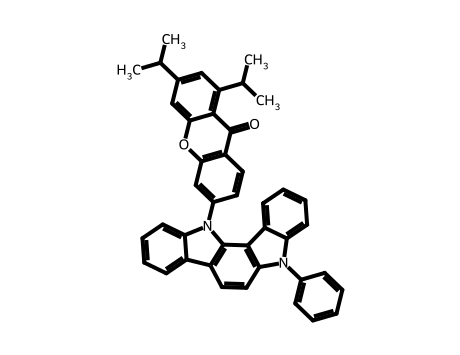 CC(C)c1cc(C(C)C)c2c(=O)c3ccc(-n4c5ccccc5c5ccc6c(c7ccccc7n6-c6ccccc6)c54)cc3oc2c1